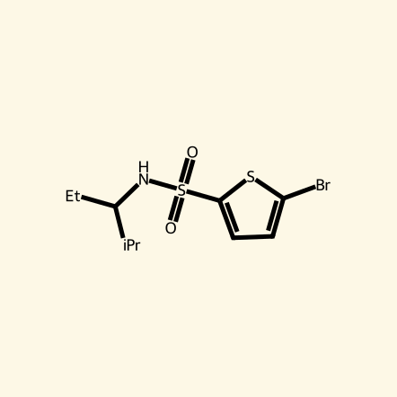 CCC(NS(=O)(=O)c1ccc(Br)s1)C(C)C